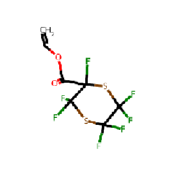 C=COC(=O)C1(F)SC(F)(F)C(F)(F)SC1(F)F